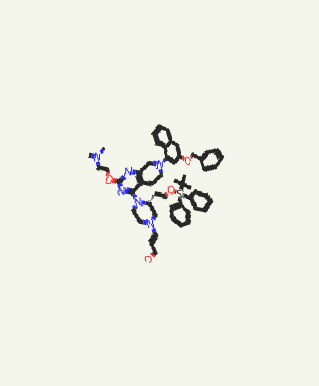 CN(C)CCOc1nc2c(c(N3CCN(C=CC=O)C[C@H]3CCO[Si](c3ccccc3)(c3ccccc3)C(C)(C)C)n1)CCN(c1cc(OCc3ccccc3)cc3ccccc13)C2